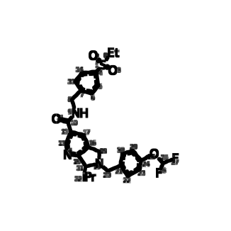 CCS(=O)(=O)c1ccc(CNC(=O)c2cnc3c(c2)CN(Cc2ccc(OC(F)F)cc2)C3C(C)C)cc1